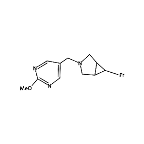 COc1ncc(CN2CC3C(C2)C3C(C)C)cn1